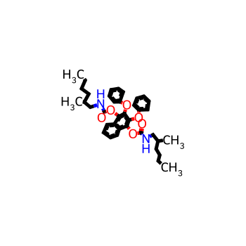 CCCCC(C)CNC(=O)Oc1c(Oc2ccccc2)c(Oc2ccccc2)c(OC(=O)NCC(C)CCCC)c2ccccc12